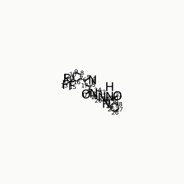 O=C(c1cncc(-c2cccc(C(F)(F)F)c2)c1)N1CCN(c2nc3ccccc3c(=O)[nH]2)CC1